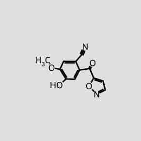 COc1cc(C#N)c(C(=O)c2ccno2)cc1O